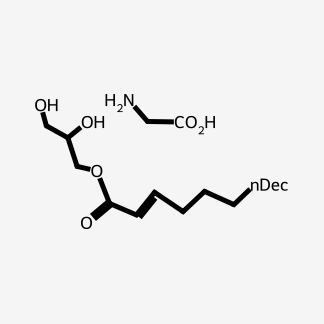 CCCCCCCCCCCCCC=CC(=O)OCC(O)CO.NCC(=O)O